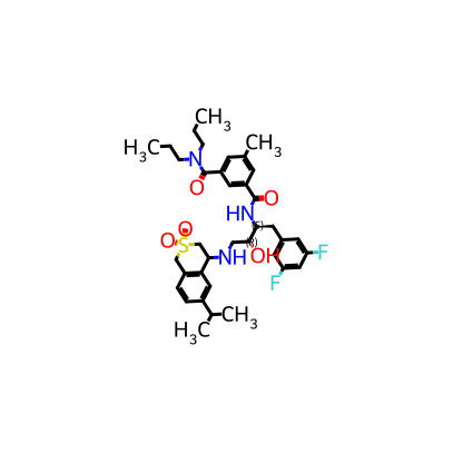 CCCN(CCC)C(=O)c1cc(C)cc(C(=O)N[C@@H](Cc2cc(F)cc(F)c2)[C@H](O)CNC2CS(=O)(=O)Cc3ccc(C(C)C)cc32)c1